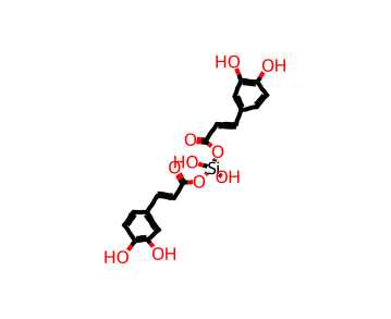 O=C(C=Cc1ccc(O)c(O)c1)O[Si](O)(O)OC(=O)C=Cc1ccc(O)c(O)c1